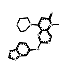 Cn1c(=O)cc(N2CCOCC2)c2nc(Nc3ccc4ncnn4c3)ncc21